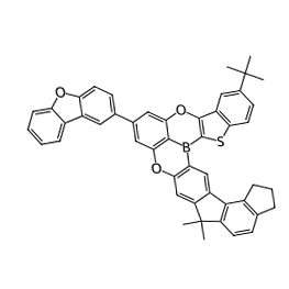 CC(C)(C)c1ccc2sc3c(c2c1)Oc1cc(-c2ccc4oc5ccccc5c4c2)cc2c1B3c1cc3c(cc1O2)C(C)(C)c1ccc2c(c1-3)CCC2